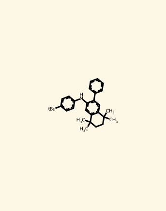 CC(C)(C)c1ccc(Nc2cc3c(cc2-c2ccccc2)C(C)(C)CCC3(C)C)cc1